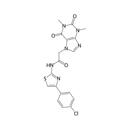 Cn1c(=O)c2c(ncn2CC(=O)Nc2nc(-c3ccc(Cl)cc3)cs2)n(C)c1=O